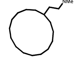 CNCCC1CCCCCCCCCCCCCC1